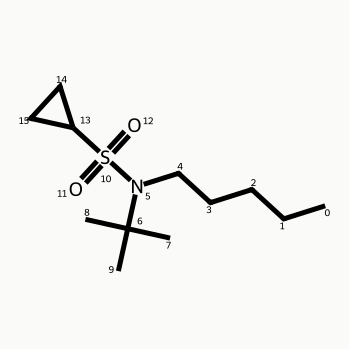 CCCCCN(C(C)(C)C)S(=O)(=O)C1CC1